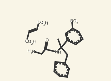 CC(Cc1ccccc1)(NC(=O)CN)c1cccc([N+](=O)[O-])c1.O=C(O)C=CC(=O)O